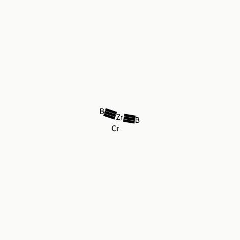 [B]#[Zr]#[B].[Cr]